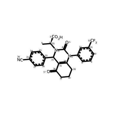 C[C@@H](C(=O)O)N1C(=O)N(c2cccc(C(F)(F)F)c2)C2=C(C(=O)CCC2)C1c1ccc(C#N)cc1